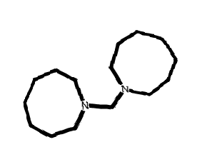 [CH](N1CCCCCCC1)N1CCCCCCC1